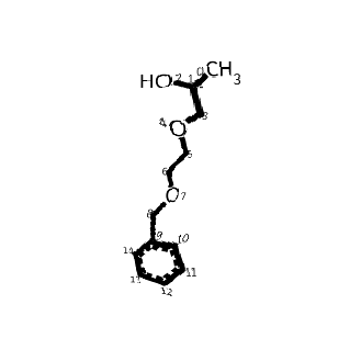 C[C](O)COCCOCc1ccccc1